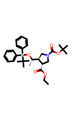 CCOC(=O)[C@H]1CN(C(=O)OC(C)(C)C)C[C@@H]1[C@H](C)O[Si](c1ccccc1)(c1ccccc1)C(C)(C)C